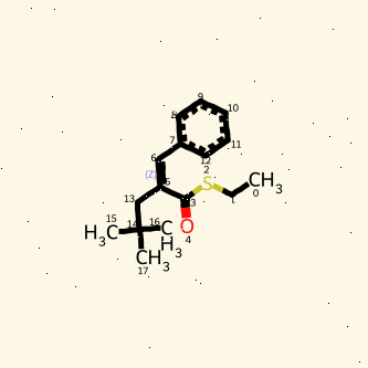 CCSC(=O)/C(=C\c1ccccc1)CC(C)(C)C